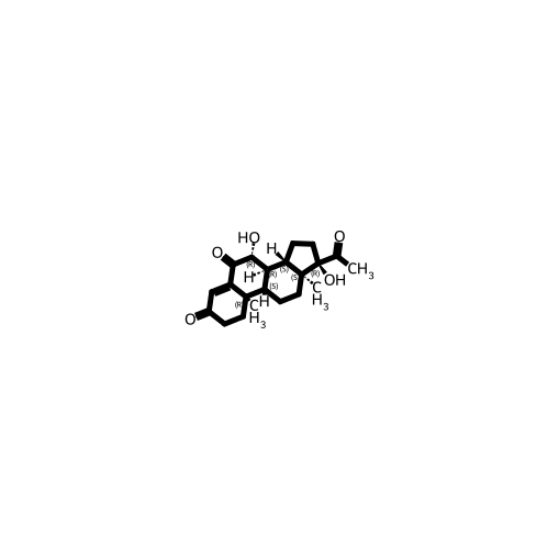 CC(=O)[C@@]1(O)CC[C@H]2[C@@H]3[C@@H](O)C(=O)C4=CC(=O)CC[C@]4(C)[C@H]3CC[C@@]21C